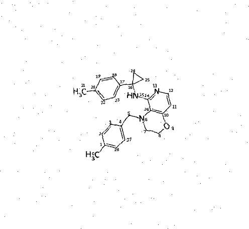 Cc1ccc(CN2CCOc3ccnc(NC4(c5ccc(C)cc5)CC4)c32)cc1